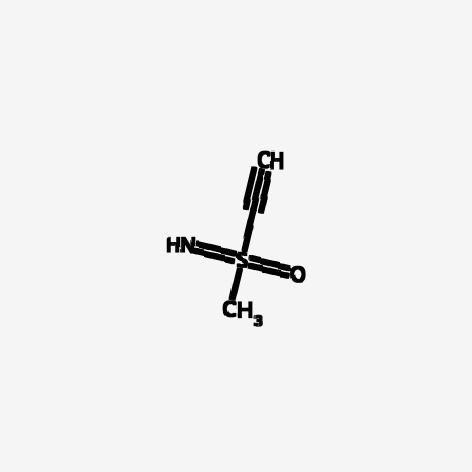 C#CS(C)(=N)=O